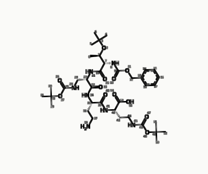 C[C@@H](OC(C)(C)C)[C@H](NC(=O)OCc1ccccc1)C(=O)N[C@@H](CNC(=O)OC(C)(C)C)C(=O)N[C@@H](CCN)C(=O)N[C@@H](CCNC(=O)OC(C)(C)C)C(=O)O